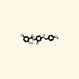 COc1ccc(CNc2ccc(NC(=O)c3cc(Cl)ccc3O)c(Cl)c2)cc1